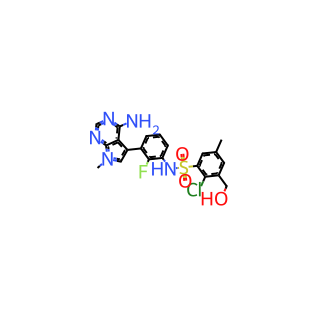 Cc1cc(CO)c(Cl)c(S(=O)(=O)Nc2cccc(-c3cn(C)c4ncnc(N)c34)c2F)c1